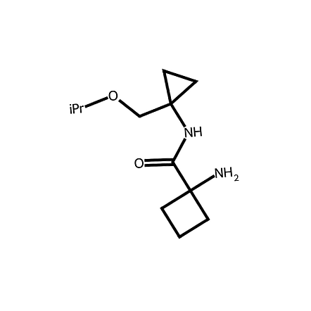 CC(C)OCC1(NC(=O)C2(N)CCC2)CC1